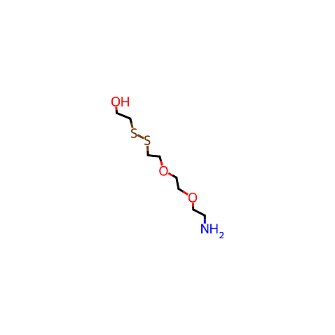 NCCOCCOCCSSCCO